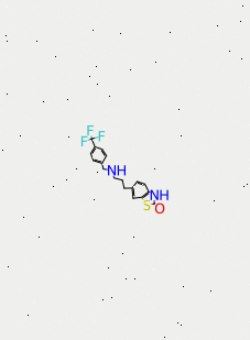 O=c1[nH]c2ccc(CCCNCc3ccc(C(F)(F)F)cc3)cc2s1